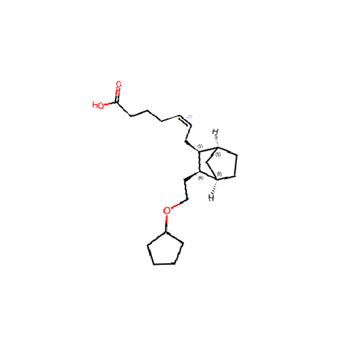 O=C(O)CCC/C=C\C[C@H]1[C@H]2CC[C@H](C2)[C@H]1CCOC1CCCC1